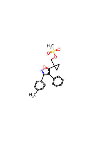 Cc1ccc(-c2noc(C3(COS(C)(=O)=O)CC3)c2-c2ccccc2)cc1